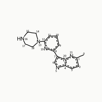 Cc1ccc2ncc(-c3cccc(N4CCNCC4)n3)n2n1